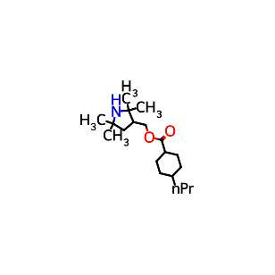 CCCC1CCC(C(=O)OCC2CC(C)(C)NC2(C)C)CC1